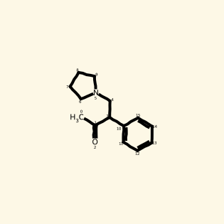 CC(=O)C(CN1CCCC1)c1ccccc1